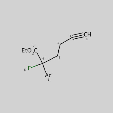 C#CCCC(F)(C(C)=O)C(=O)OCC